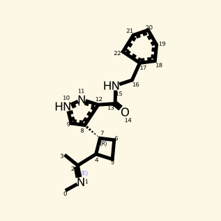 C/N=C(\C)C1CC[C@H]1c1c[nH]nc1C(=O)NCc1ccccc1